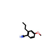 CCCc1cc(OC)ccc1C#N